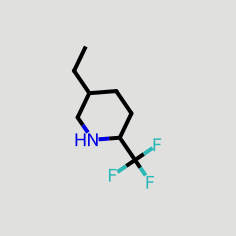 CCC1CCC(C(F)(F)F)NC1